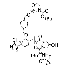 Cc1ncsc1-c1ccc(CNC(=O)[C@@H]2C[C@@H](O)CN2C(=O)[C@@H](NC(=O)C2(F)CC2)C(C)(C)C)c(OCC2CCC(COC[C@H]3CN(C(=O)OC(C)(C)C)CCO3)CC2)c1